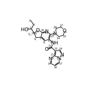 CCC(O)[C@]1(C)Cc2cc(NC(=O)c3cnn4cccnc34)c(N3CCOCC3)nc2O1